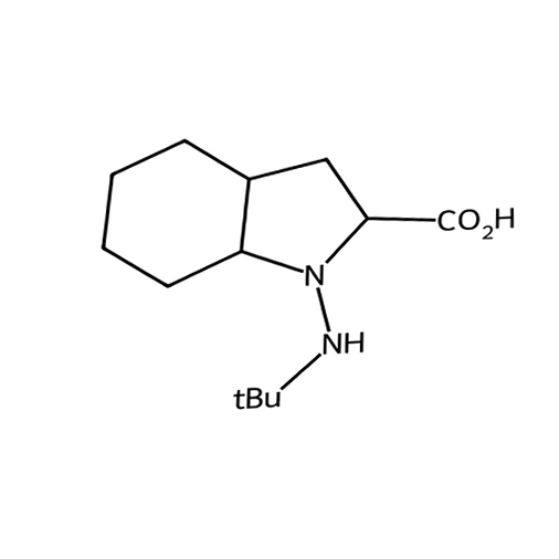 CC(C)(C)NN1C(C(=O)O)CC2CCCCC21